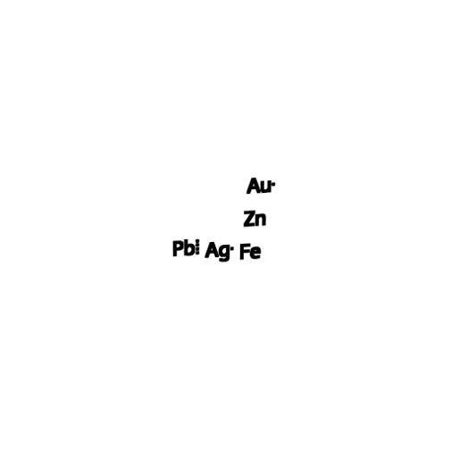 [Ag].[Au].[Fe].[Pb].[Zn]